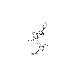 CN1CCC(c2ncc(-c3cnc(N)c(OCc4cc(C#CC(C)(C)O)ccc4C#N)c3)s2)CC1